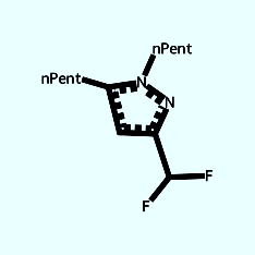 CCCCCc1cc(C(F)F)nn1CCCCC